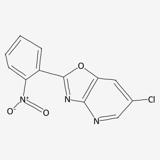 O=[N+]([O-])c1ccccc1-c1nc2ncc(Cl)cc2o1